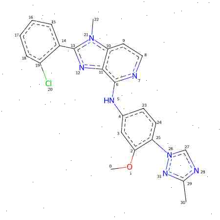 COc1cc(Nc2nccc3c2nc(-c2ccccc2Cl)n3C)ccc1-n1cnc(C)n1